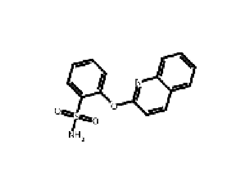 NS(=O)(=O)c1ccccc1Oc1ccc2ccccc2n1